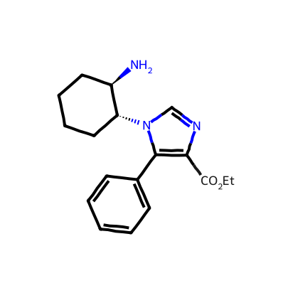 CCOC(=O)c1ncn([C@@H]2CCCC[C@H]2N)c1-c1ccccc1